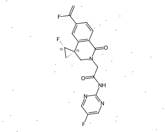 C=C(F)c1ccc2c(c1)[C@@]1(C[C@@H]1F)CN(CC(=O)Nc1ncc(F)cn1)C2=O